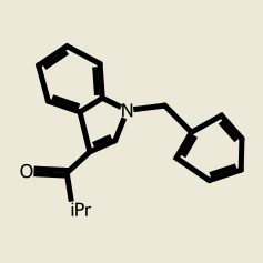 CC(C)C(=O)c1cn(Cc2ccccc2)c2ccccc12